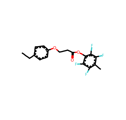 CCc1ccc(OCCC(=O)Oc2c(F)c(F)c(C)c(F)c2F)cc1